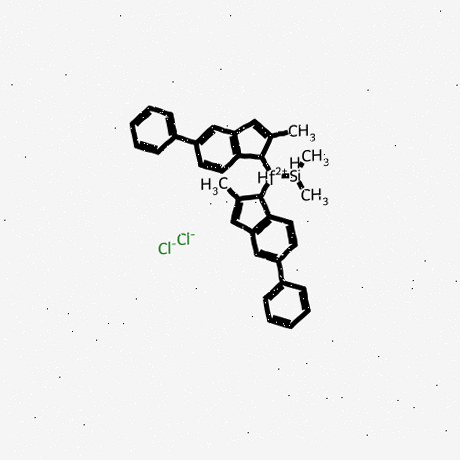 CC1=Cc2cc(-c3ccccc3)ccc2[CH]1[Hf+2]([CH]1C(C)=Cc2cc(-c3ccccc3)ccc21)[SiH](C)C.[Cl-].[Cl-]